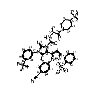 Cc1c(-c2ccnn2-c2ccc(C#N)cc2)n(C(=O)NC(C)C(=O)N2CCC([N+](C)(C)C)CC2)c(=O)n1-c1cccc(C(F)(F)F)c1.O=S(=O)([O-])c1ccccc1